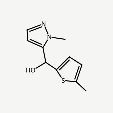 Cc1ccc(C(O)c2ccnn2C)s1